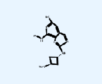 CN[C@H]1C[C@H](Nc2ncc3cc(C#N)nc(NC(C)C)c3n2)C1